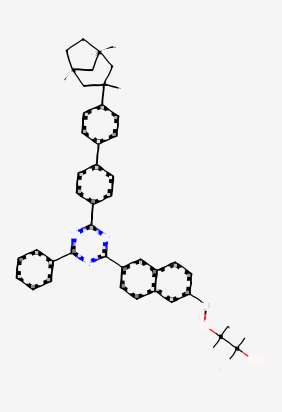 CC1(c2ccc(-c3ccc(-c4nc(-c5ccccc5)nc(-c5ccc6cc(BOC(C)(C)C(C)(C)O)ccc6c5)n4)cc3)cc2)C[C@@H]2CC[C@@H](C2)C1